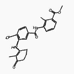 COC(=O)c1cccc(NC(=O)c2ccc(Cl)c(NC3=C(C)C(=O)CCC3)c2)c1C